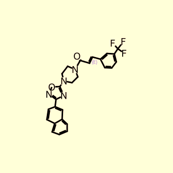 O=C(/C=C/c1cccc(C(F)(F)F)c1)N1CCN(c2nc(-c3ccc4ccccc4c3)no2)CC1